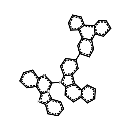 c1ccc2c(c1)ccc1c2c2cc(-c3ccc4c5ccccc5c5ccccc5c4c3)ccc2n1-c1nc2ccccc2c2nc3ccccc3n12